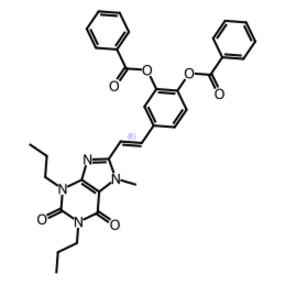 CCCn1c(=O)c2c(nc(/C=C/c3ccc(OC(=O)c4ccccc4)c(OC(=O)c4ccccc4)c3)n2C)n(CCC)c1=O